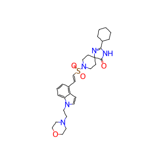 O=C1NC(C2CCCCC2)=NC12CCN(S(=O)(=O)/C=C/c1cccc3c1ccn3CCN1CCOCC1)CC2